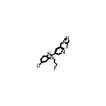 FCCCn1c(-c2cncc(Cn3cncc3F)c2)nc2ccc(Cl)cc21